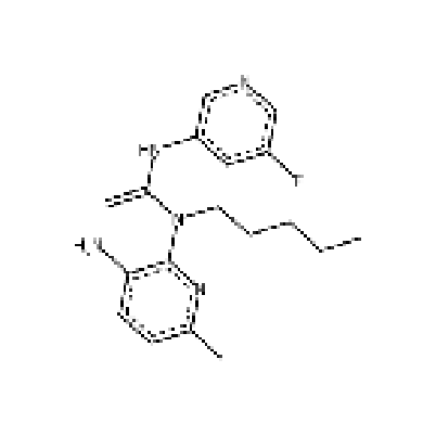 C=C(Nc1cncc(F)c1)N(CCCCC)c1nc(C)ccc1N